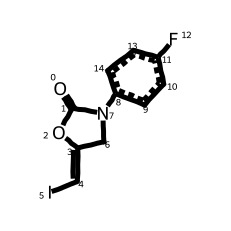 O=C1O/C(=C\I)CN1c1ccc(F)cc1